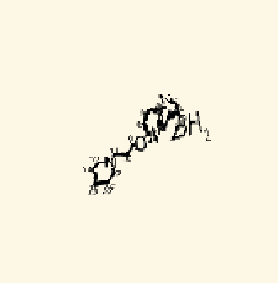 Bc1cnc2ccc(OCCCN3CCCCC3)nn12